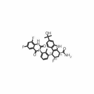 Cc1c([C@H]2c3c([nH]c4cc(C(C)(C)O)ccc34)[C@@H](C(N)=O)C[C@H]2F)cccc1-n1c(=O)[nH]c2c(F)cc(F)cc2c1=O